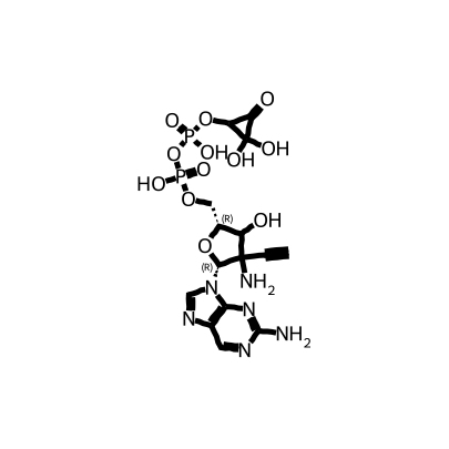 C#CC1(N)C(O)[C@@H](COP(=O)(O)OP(=O)(O)OC2C(=O)C2(O)O)O[C@H]1n1cnc2cnc(N)nc21